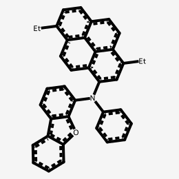 CCc1ccc2ccc3c(CC)cc(N(c4ccccc4)c4cccc5c4oc4ccccc45)c4ccc1c2c34